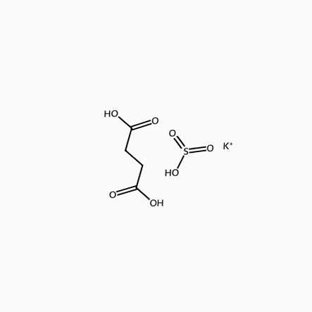 O=C(O)CCC(=O)O.O=[S-](=O)O.[K+]